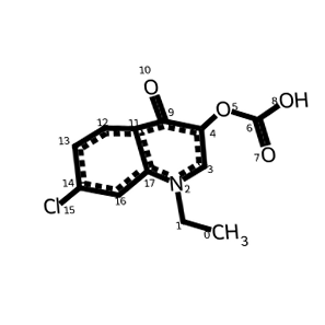 CCn1cc(OC(=O)O)c(=O)c2ccc(Cl)cc21